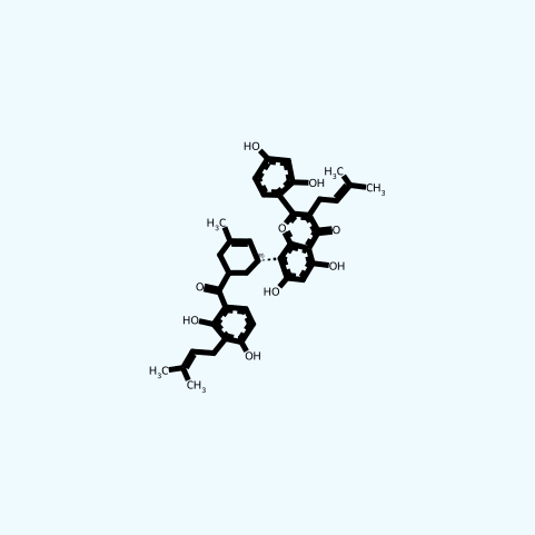 CC(C)=CCc1c(O)ccc(C(=O)C2CC(C)=C[C@H](c3c(O)cc(O)c4c(=O)c(CC=C(C)C)c(-c5ccc(O)cc5O)oc34)C2)c1O